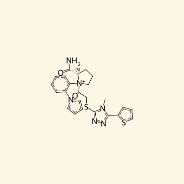 Cn1c(SCC(=O)[N+]2(c3ccccc3-n3cccc3)CCC[C@H]2C(N)=O)nnc1-c1cccs1